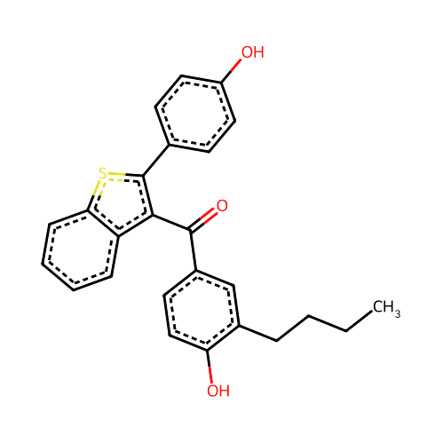 CCCCc1cc(C(=O)c2c(-c3ccc(O)cc3)sc3ccccc23)ccc1O